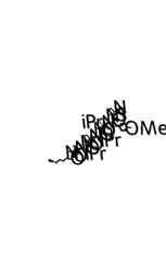 C#CCCCC[C@@H](C)C(=O)N(C)[C@@H](C)C(=O)N(C)[C@H](C(=O)N1CCC[C@H]1C(=O)N(C)[C@H](C(=O)N(C)[C@H](C(=O)N(C)[C@@H](Cc1ccc(OC)cc1)C(=O)N1CCC[C@H]1c1nccs1)C(C)C)C(C)C)C(C)C